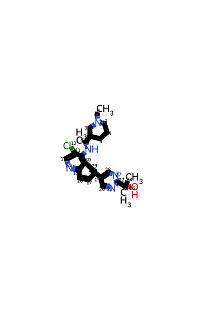 CCN1CCCC([C@H](C)Nc2c(Cl)cnc3ccc(-c4cnc(C(C)(C)O)nc4)cc23)C1